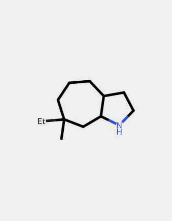 CCC1(C)CCCC2CCNC2C1